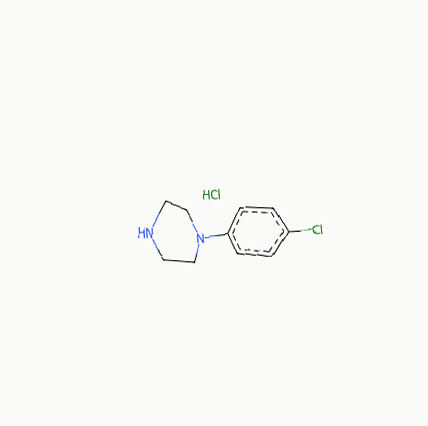 Cl.Clc1ccc(N2CCNCC2)cc1